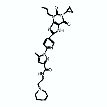 CCCn1c(=O)n(C2CC2)c(=O)c2[nH]c(-c3ccc(-n4nc(C(=O)NCCN5CCCCC5)cc4C)nc3)nc21